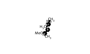 COc1cc(C2CCCN(C(C)c3ccc4oc(C)nc4n3)C2)cc(C)n1